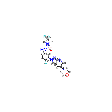 O=C(Nc1ccc(F)c(-n2cc3cc(N4CCOCC4)cnc3n2)c1)N1CC(F)(F)C1